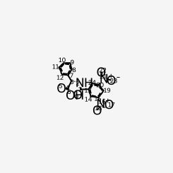 O=C(N[C@H](C(=O)O)c1ccccc1)c1cc([N+](=O)[O-])cc([N+](=O)[O-])c1